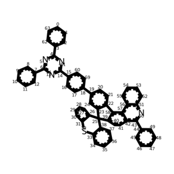 c1ccc(-c2nc(-c3ccccc3)nc(-c3ccc(-c4ccc5c(c4)C4(c6ccccc6Sc6ccccc64)c4ccc6c(-c7ccccc7)nc7ccccc7c6c4-5)cc3)n2)cc1